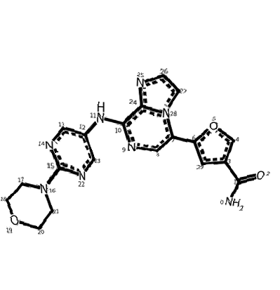 NC(=O)c1coc(-c2cnc(Nc3cnc(N4CCOCC4)nc3)c3nccn23)c1